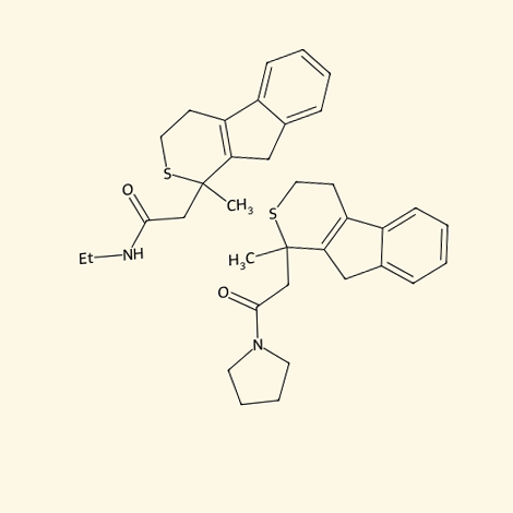 CC1(CC(=O)N2CCCC2)SCCC2=C1Cc1ccccc12.CCNC(=O)CC1(C)SCCC2=C1Cc1ccccc12